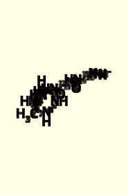 CC12CNCCNCC(NC(=O)CCCC(=O)NCCCN=[N+]=[N-])(CNCCNC1)CNCCNC2